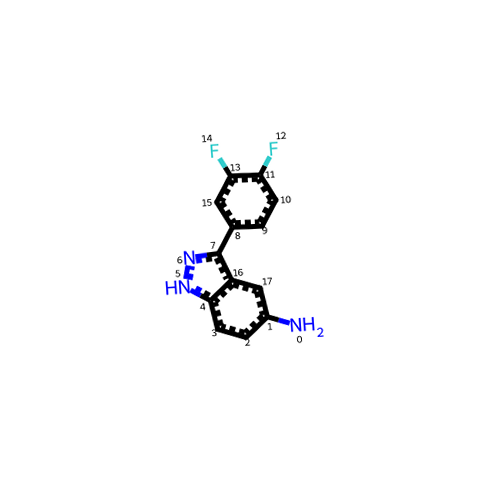 Nc1ccc2[nH]nc(-c3ccc(F)c(F)c3)c2c1